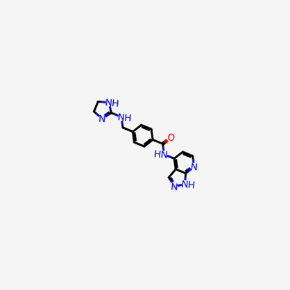 O=C(Nc1ccnc2[nH]ncc12)c1ccc(CNC2=NCCN2)cc1